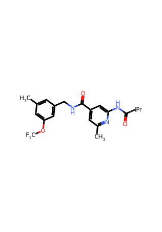 Cc1cc(CNC(=O)c2cc(C)nc(NC(=O)C(C)C)c2)cc(OC(F)(F)F)c1